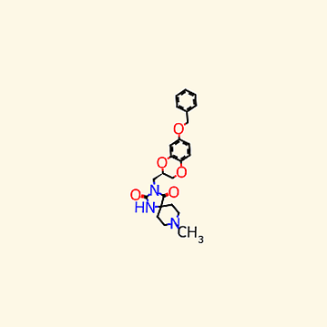 CN1CCC2(CC1)NC(=O)N(C[C@@H]1COc3ccc(OCc4ccccc4)cc3O1)C2=O